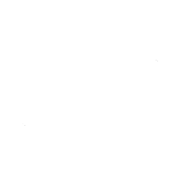 c1ccc2c(c1)-c1ccccc1C21c2cc(-c3ccc(C4=NCCO4)cc3)ccc2-c2ccc(-c3ccc(C4=NCCO4)cc3)cc21